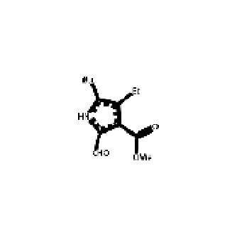 CCc1c(C(C)CC)[nH]c(C=O)c1C(=O)OC